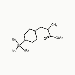 CCC(C)[Si](C(C)CC)(C(C)CC)N1CCN(CC(C)C(=O)OC)CC1